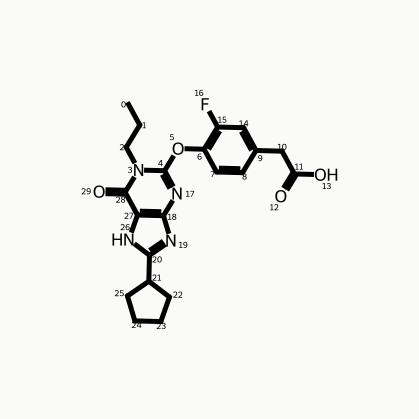 CCCn1c(Oc2ccc(CC(=O)O)cc2F)nc2nc(C3CCCC3)[nH]c2c1=O